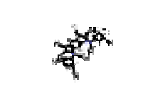 Cc1cc(C#N)cc(/C(C#N)=C2\C(C#N)=C(C#N)c3cc4c(cc32)/C(=C(\C#N)c2cc(C#N)cc(C#N)c2)C(C#N)=C4C#N)c1